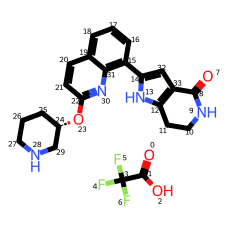 O=C(O)C(F)(F)F.O=C1NCCc2[nH]c(-c3cccc4ccc(O[C@H]5CCCNC5)nc34)cc21